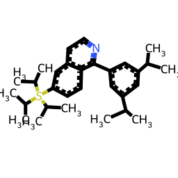 CC(C)c1cc(-c2nccc3cc(S(C(C)C)(C(C)C)C(C)C)ccc23)cc(C(C)C)c1